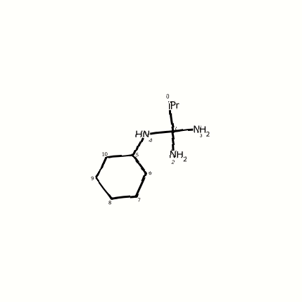 CC(C)C(N)(N)NC1CCCCC1